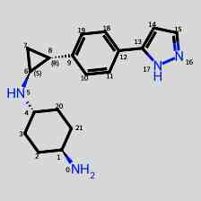 N[C@H]1CC[C@H](N[C@H]2C[C@@H]2c2ccc(-c3ccn[nH]3)cc2)CC1